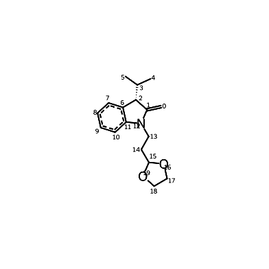 C=C1[C@@H](C(C)C)c2ccccc2N1CCC1OCCO1